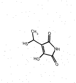 CC(S)C1=C(O)C(=O)NC1=O